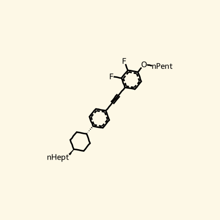 CCCCCCC[C@H]1CC[C@H](c2ccc(C#Cc3ccc(OCCCCC)c(F)c3F)cc2)CC1